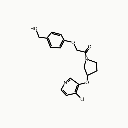 O=C(COc1ccc(CO)cc1)N1CCC(Oc2cnccc2Cl)C1